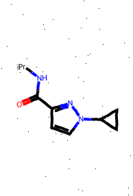 CC(C)NC(=O)c1ccn(C2CC2)n1